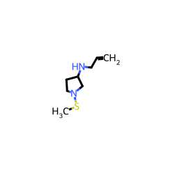 C=CCNC1CCN(SC)C1